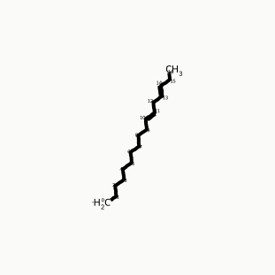 [CH2]CCCCCCCCC/C=C/C/C=C/CC